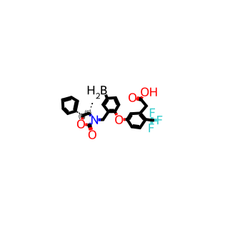 Bc1ccc(Oc2ccc(C(F)(F)F)c(CC(=O)O)c2)c(CN2C(=O)O[C@H](c3ccccc3)[C@@H]2C)c1